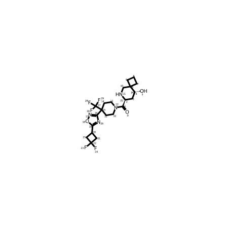 O=C([C@@H]1C[C@@H](O)C2(CCC2)CN1)N1CCC(c2noc(C3CC(F)(F)C3)n2)(C(F)(F)F)CC1